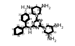 N[C@@H]1C[C@H](N)CN(c2nc(NC(c3ccccc3)c3ccccc3)nc(N3C[C@H](N)C[C@H](N)C3)n2)C1